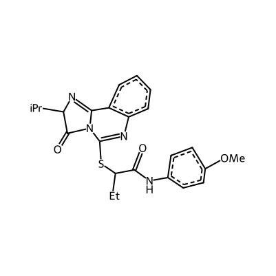 CCC(SC1=Nc2ccccc2C2=NC(C(C)C)C(=O)N12)C(=O)Nc1ccc(OC)cc1